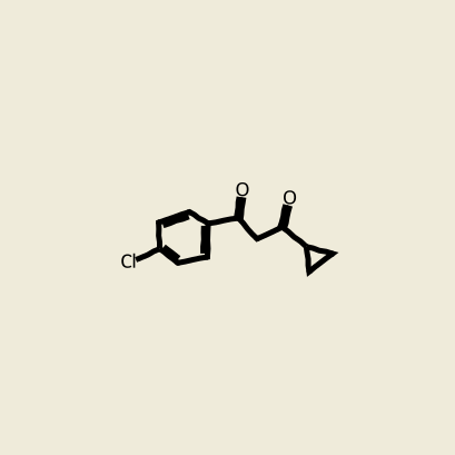 O=C(CC(=O)C1CC1)c1ccc(Cl)cc1